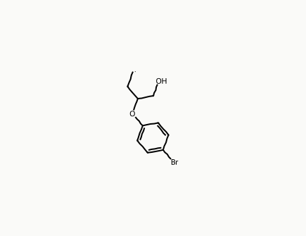 [CH2]CC(CO)Oc1ccc(Br)cc1